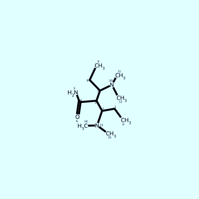 CCC(C(C(N)=O)C(CC)N(C)C)N(C)C